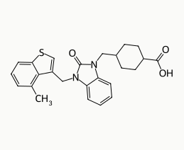 Cc1cccc2scc(Cn3c(=O)n(CC4CCC(C(=O)O)CC4)c4ccccc43)c12